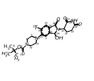 CC(C)(C)OC(=O)N1CCN(c2cc3c(cc2F)C(=O)N(C2CCC(=O)NC2=O)C3O)CC1